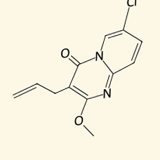 C=CCc1c(OC)nc2ccc(Cl)cn2c1=O